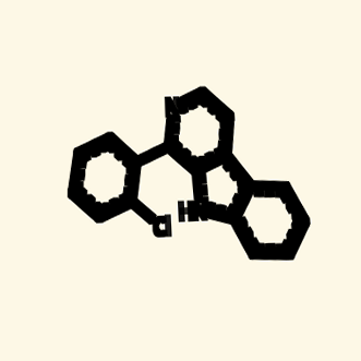 Clc1ccccc1-c1nccc2c1[nH]c1ccccc12